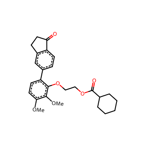 COc1ccc(-c2ccc3c(c2)CCC3=O)c(OCCOC(=O)C2CCCCC2)c1OC